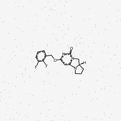 O=c1nc(OCc2cccc(F)c2F)cc2n1C[C@@H]1CCCN21